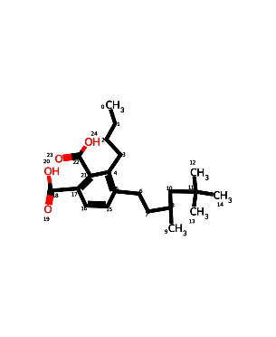 CCCCc1c(CCC(C)CC(C)(C)C)ccc(C(=O)O)c1C(=O)O